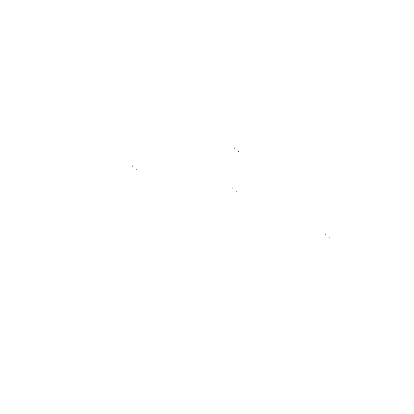 c1ccc(-c2cccc3c2c2ccccc2n3-c2ccc(-c3nsc(-c4ccc(N5c6ccccc6Oc6ccccc65)cc4)n3)cc2)cc1